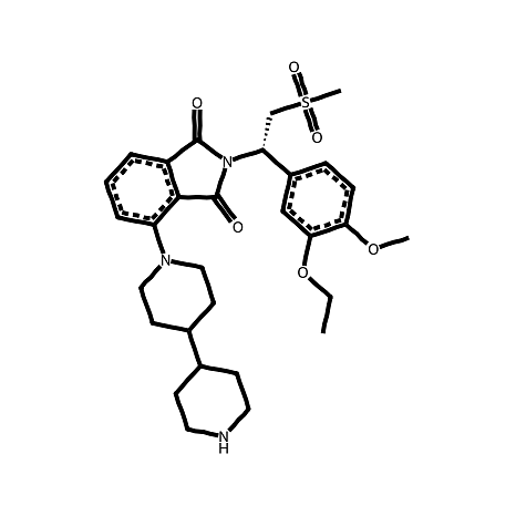 CCOc1cc([C@@H](CS(C)(=O)=O)N2C(=O)c3cccc(N4CCC(C5CCNCC5)CC4)c3C2=O)ccc1OC